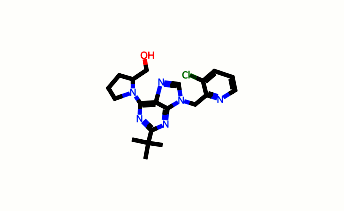 CC(C)(C)c1nc(N2CCCC2CO)c2ncn(Cc3ncccc3Cl)c2n1